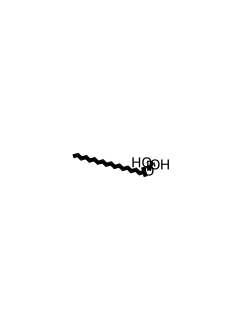 CCCCCCCCCCCCCCCCCC(C)(C)OP(O)O